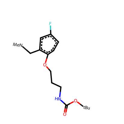 CNCc1cc(F)ccc1OCCCNC(=O)OC(C)(C)C